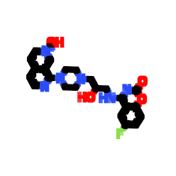 O=c1nc(NCC(O)CN2CCN(c3nccc4cc[n+](O)cc34)CC2)c2cc(F)ccc2o1